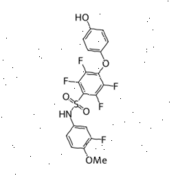 COc1ccc(NS(=O)(=O)c2c(F)c(F)c(Oc3ccc(O)cc3)c(F)c2F)cc1F